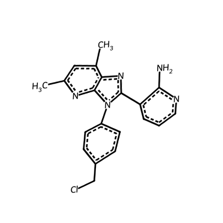 Cc1cc(C)c2nc(-c3cccnc3N)n(-c3ccc(CCl)cc3)c2n1